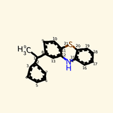 CC(c1ccccc1)c1ccc2c(c1)Nc1ccccc1S2